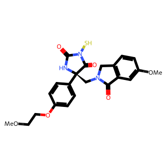 COCCOc1ccc([C@]2(CN3Cc4ccc(OC)cc4C3=O)NC(=O)N(S)C2=O)cc1